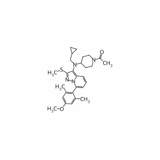 COc1cc(C)c(-c2cccc3c(N(CC4CC4)C4CCN(C(C)=O)CC4)c(SC)nn23)c(C)c1